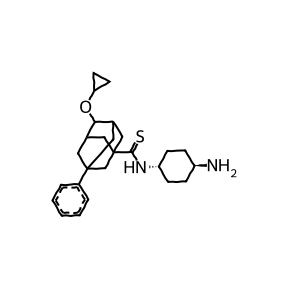 N[C@H]1CC[C@H](NC(=S)C23CC4CC(c5ccccc5)(CC(C2)C4OC2CC2)C3)CC1